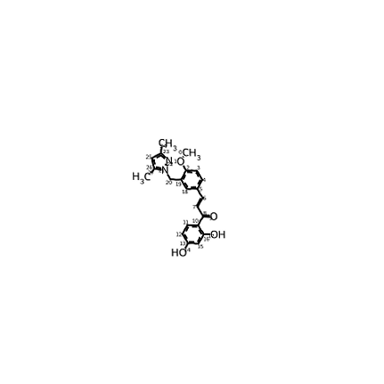 COc1ccc(/C=C/C(=O)c2ccc(O)cc2O)cc1Cn1nc(C)cc1C